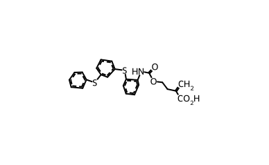 C=C(CCOC(=O)Nc1ccccc1Sc1cccc(Sc2ccccc2)c1)C(=O)O